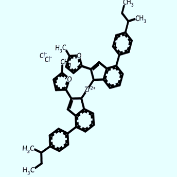 CCC(C)c1ccc(-c2cccc3c2C=C(c2ccc(C)o2)[CH]3[Zr+2][CH]2C(c3ccc(C)o3)=Cc3c(-c4ccc(C(C)CC)cc4)cccc32)cc1.[Cl-].[Cl-]